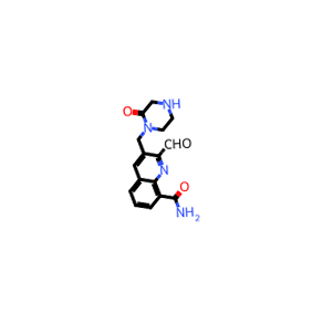 NC(=O)c1cccc2cc(CN3CCNCC3=O)c(C=O)nc12